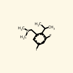 CC(C)c1c(F)cc(I)cc1CN(C)C